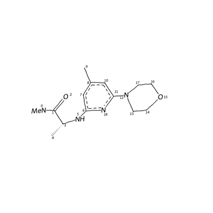 CNC(=O)[C@@H](C)Nc1cc(C)cc(N2CCOCC2)n1